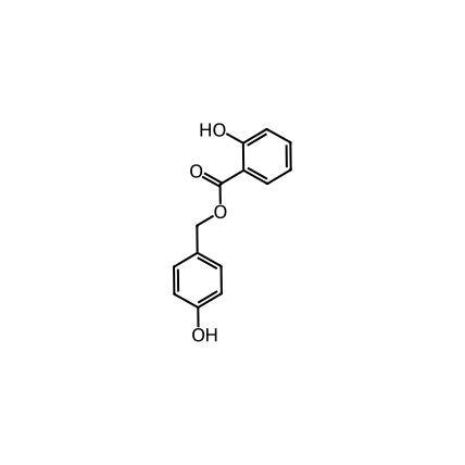 O=C(OCc1ccc(O)cc1)c1ccccc1O